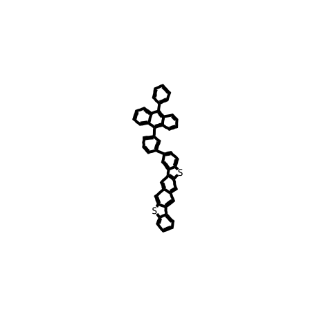 c1ccc(-c2c3ccccc3c(-c3cccc(-c4ccc5sc6cc7cc8c(cc7cc6c5c4)sc4ccccc48)c3)c3ccccc23)cc1